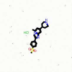 Cc1cc(C2CCNCC2)cc2nc(-c3ccc(S(C)(=O)=O)cc3)cn12.Cl